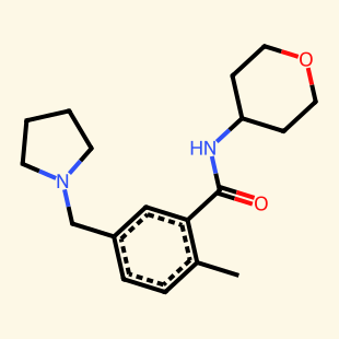 Cc1ccc(CN2CCCC2)cc1C(=O)NC1CCOCC1